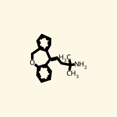 CC(C)(N)C/C=C1/c2ccccc2COc2ccccc21